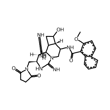 COc1ccc2ccccc2c1C(=O)NC1CN2C(=N)N[C@@H](CN3C(=O)CCC3=O)[C@@H]3NC(=N)NC32C2CC(O)[C@H]12